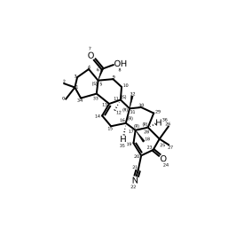 CC1(C)CC[C@]2(C(=O)O)CC[C@]3(C)C(=CC[C@@H]4[C@@]5(C)C=C(C#N)C(=O)C(C)(C)[C@@H]5CC[C@]43C)C2C1